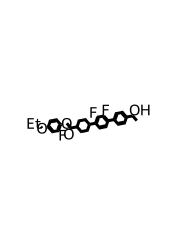 CCOc1ccc(OC(=O)C2CCC(c3ccc(-c4ccc(C(C)O)cc4)c(F)c3F)CC2)c(F)c1